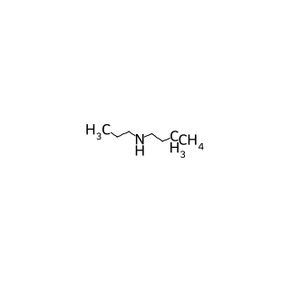 C.CCCNCCC